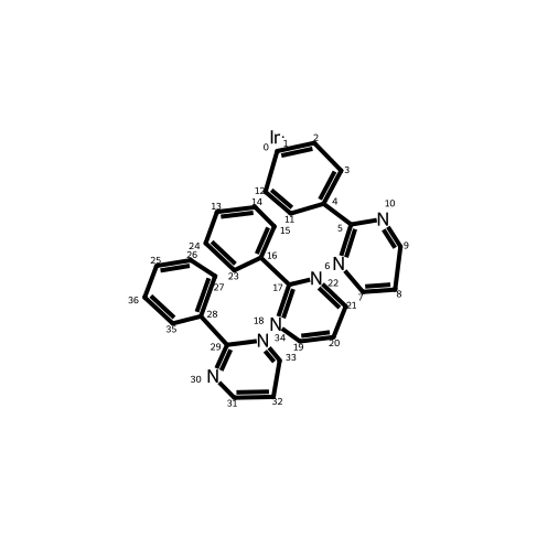 [Ir].c1ccc(-c2ncccn2)cc1.c1ccc(-c2ncccn2)cc1.c1ccc(-c2ncccn2)cc1